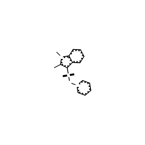 Cc1c(S(=O)(=O)O[n+]2ccccc2)c2ccccc2n1C